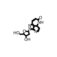 O=C1C=Cc2nn(C3CC(O)C(CO)O3)c3nccc(c23)N1